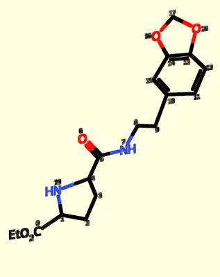 CCOC(=O)C1CCC(C(=O)NCCc2ccc3c(c2)OCO3)N1